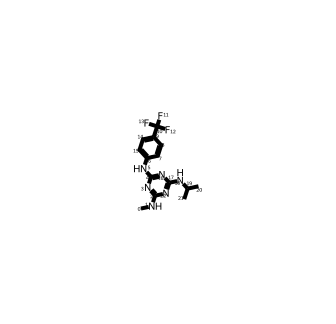 CNc1nc(Nc2ccc(C(F)(F)F)cc2)nc(NC(C)C)n1